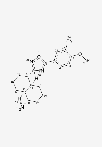 CC(C)Oc1ccc(-c2nc([C@H]3CCC[C@H]4[C@@H]3CCC[C@@H]4N)no2)cc1C#N